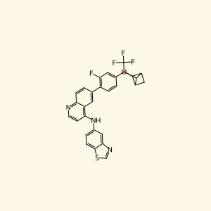 Fc1cc(CC2C3CC2C3OC(F)(F)F)ccc1-c1ccc2nccc(Nc3ccc4scnc4c3)c2c1